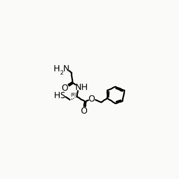 NCC(=O)N[C@@H](CS)C(=O)OCc1ccccc1